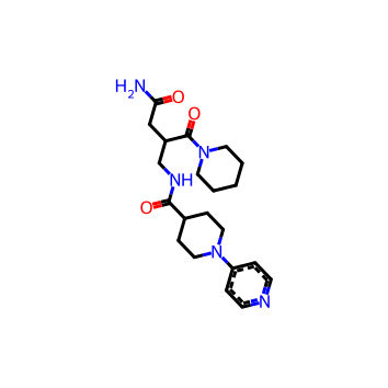 NC(=O)CC(CNC(=O)C1CCN(c2ccncc2)CC1)C(=O)N1CCCCC1